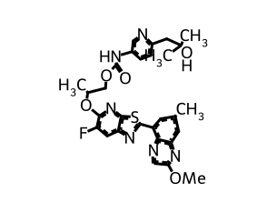 COc1cnc2c(-c3nc4cc(F)c(O[C@@H](C)COC(=O)Nc5ccc(CC(C)(C)O)nc5)nc4s3)cc(C)cc2n1